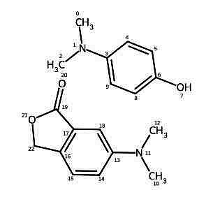 CN(C)c1ccc(O)cc1.CN(C)c1ccc2c(c1)C(=O)OC2